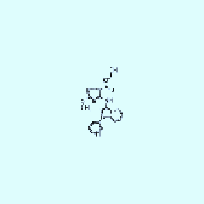 CCOC(=O)c1cnc(SC)nc1Nc1nn(-c2cccnc2)c2ccccc12